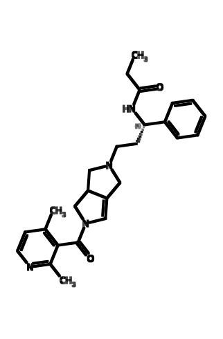 CCC(=O)N[C@@H](CCN1CC2=CN(C(=O)c3c(C)ccnc3C)CC2C1)c1ccccc1